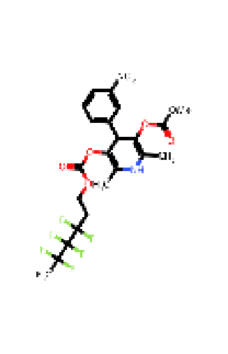 COC(=O)OC1=C(C)NC(C)=C(OC(=O)OCCC(F)(F)C(F)(F)C(F)(F)C(F)(F)F)C1c1cccc([N+](=O)[O-])c1